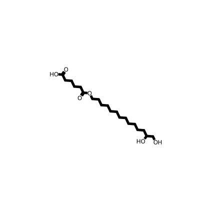 O=C(O)CCCCC(=O)OCCCCCCCCCCCCC(O)CO